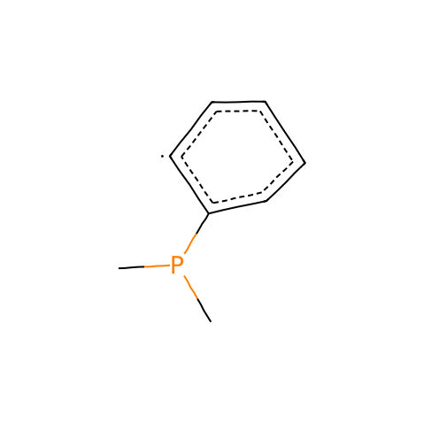 CP(C)c1[c]cccc1